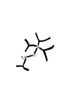 CC(C)[SiH2]O[Si](C(C)C)(C(C)C)C(C)C